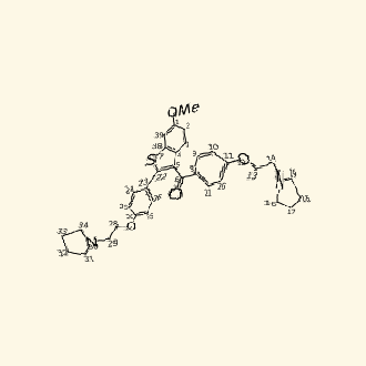 COc1ccc2c(C(=O)c3ccc(OCCN4CCCC4)cc3)c(-c3ccc(OCCN4CCCC4)cc3)sc2c1